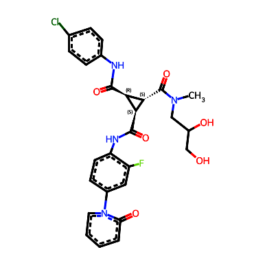 CN(CC(O)CO)C(=O)[C@H]1[C@H](C(=O)Nc2ccc(Cl)cc2)[C@@H]1C(=O)Nc1ccc(-n2ccccc2=O)cc1F